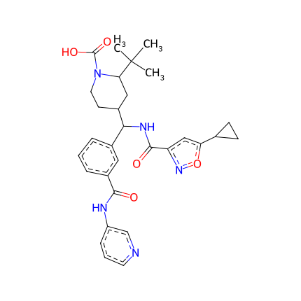 CC(C)(C)C1CC(C(NC(=O)c2cc(C3CC3)on2)c2cccc(C(=O)Nc3cccnc3)c2)CCN1C(=O)O